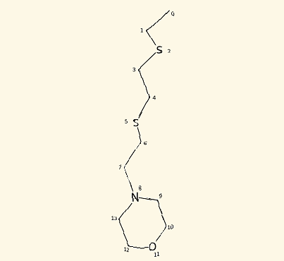 CCSCCSCCN1CCOCC1